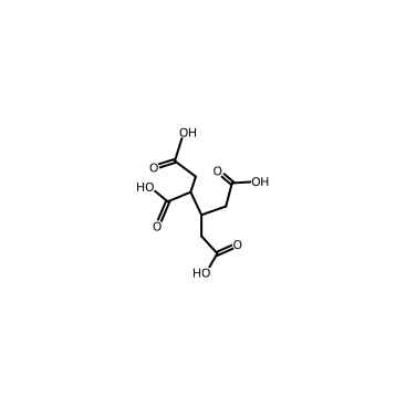 O=C(O)CC(CC(=O)O)C(CC(=O)O)C(=O)O